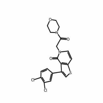 O=C(Cn1ccc2scc(-c3ccc(Cl)c(Cl)c3)c2c1=O)N1CCOCC1